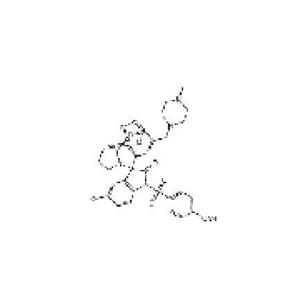 COc1ccc(S(=O)(=O)N2C(=O)C(c3cc(CN4CCN(C)CC4)cnc3OC)(N3CCC[C@H]3c3ncco3)c3cc(Cl)ccc32)cc1